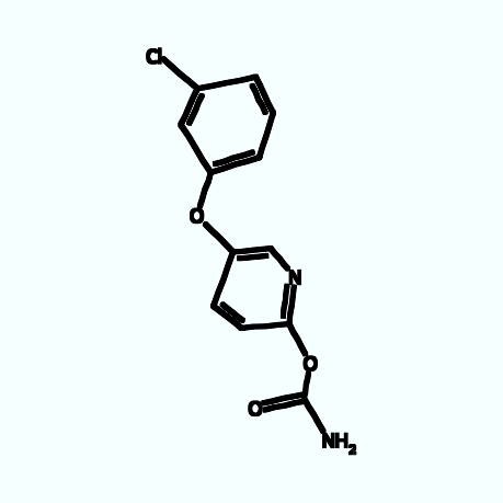 NC(=O)Oc1ccc(Oc2cccc(Cl)c2)cn1